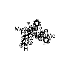 C#C[C@@]1(O)C(n2ccc(=O)[nH]c2=O)O[C@H](COP(=O)(N[C@@H](C)C(=O)OC)Oc2ccccc2)[C@H]1OP(=O)(N[C@@H](C)C(=O)OC)Oc1ccccc1